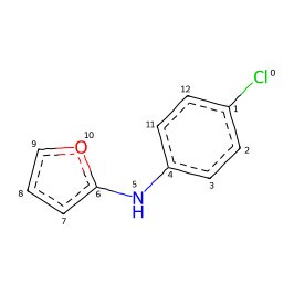 Clc1ccc(Nc2ccco2)cc1